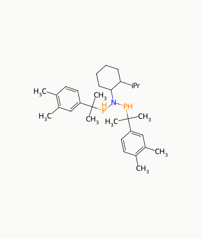 Cc1ccc(C(C)(C)PN(PC(C)(C)c2ccc(C)c(C)c2)C2CCCCC2C(C)C)cc1C